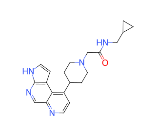 O=C(CN1CCC(c2ccnc3cnc4[nH]ccc4c23)CC1)NCC1CC1